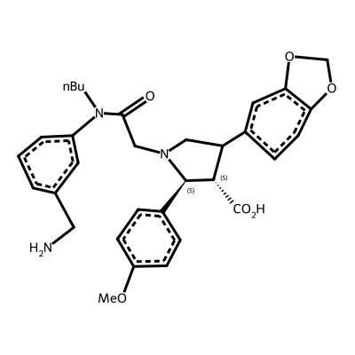 CCCCN(C(=O)CN1CC(c2ccc3c(c2)OCO3)[C@H](C(=O)O)[C@H]1c1ccc(OC)cc1)c1cccc(CN)c1